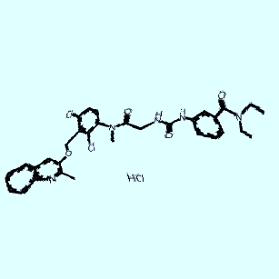 CCN(CC)C(=O)c1cccc(NC(=O)NCC(=O)N(C)c2ccc(Cl)c(COc3cc4ccccc4nc3C)c2Cl)c1.Cl